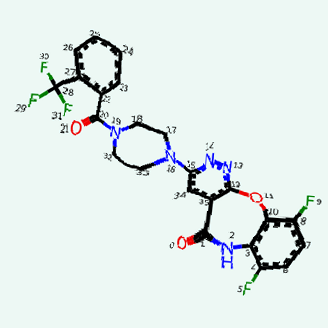 O=C1Nc2c(F)ccc(F)c2Oc2nnc(N3CCN(C(=O)c4ccccc4C(F)(F)F)CC3)cc21